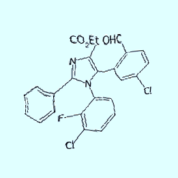 CCOC(=O)c1nc(-c2ccccc2)n(-c2cccc(Cl)c2F)c1-c1cc(Cl)ccc1C=O